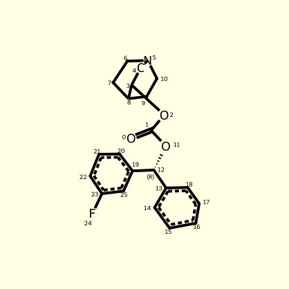 O=C(OC1CN2CCC1CC2)O[C@H](c1ccccc1)c1cccc(F)c1